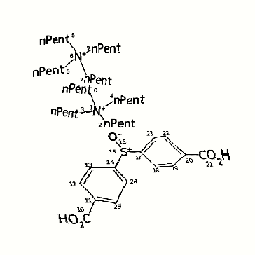 CCCCC[N+](CCCCC)(CCCCC)CCCCC.CCCCC[N+](CCCCC)(CCCCC)CCCCC.O=C(O)c1ccc([S+]([O-])c2ccc(C(=O)O)cc2)cc1